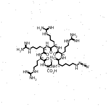 CC(=O)N[C@@H](CCCCNN=[N+]=[N-])C(=O)N[C@H](CCCNC(=N)N)C(=O)N[C@H](CCCNC(=N)N)C(=O)N[C@H](CCCNC(=N)N)C(=O)N[C@H](CCCNC(=N)N)C(=O)N[C@H](CS)C(=O)O